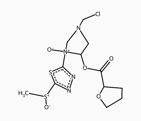 C[S+]([O-])c1nnc([N+]2([O-])CN(CCl)CC2OC(=O)C2CCCO2)s1